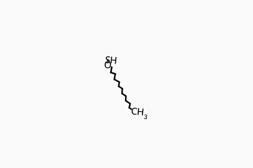 CCCCCCCCCCCCCOS